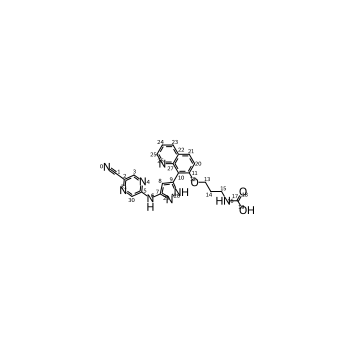 N#Cc1cnc(Nc2cc(-c3c(OCCCNC(=O)O)ccc4cccnc34)[nH]n2)cn1